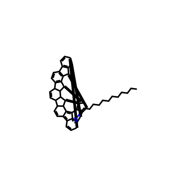 CCCCCCCCCCCCN1CC23C4=C5C=CC6C7C5=C2c2c5c8c9c%10c(ccc%11c%12ccc%13c%14c(c2c8c(c%10%11)c%14%12)C3(C1)C=%13C=C4)C1C=CC6C(C=57)C91